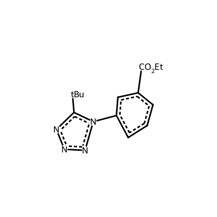 CCOC(=O)c1cccc(-n2nnnc2C(C)(C)C)c1